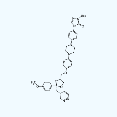 CCC(C)n1ncn(-c2ccc(N3CCN(c4ccc(OC[C@@H]5CO[C@@](Cc6ccnnc6)(c6ccc(OC(F)(F)F)cc6)O5)cc4)CC3)cc2)c1=O